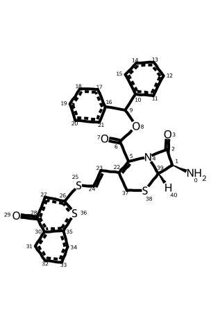 N[C@@H]1C(=O)N2C(C(=O)OC(c3ccccc3)c3ccccc3)=C(C=CSc3cc(=O)c4ccccc4s3)CS[C@@H]12